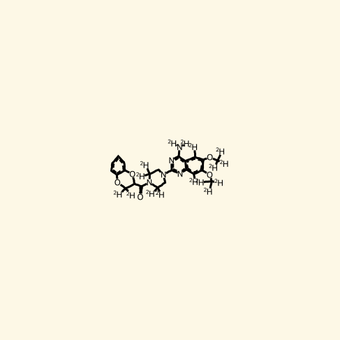 [2H]c1c(OC([2H])([2H])[2H])c(OC([2H])([2H])[2H])c([2H])c2c(N([2H])[2H])nc(N3CC([2H])([2H])N(C(=O)C4Oc5ccccc5OC4([2H])[2H])C([2H])([2H])C3)nc12